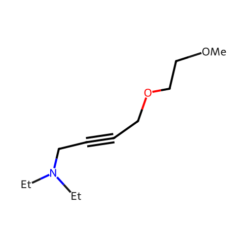 CCN(CC)CC#CCOCCOC